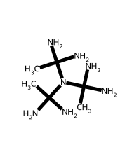 CC(N)(N)N(C(C)(N)N)C(C)(N)N